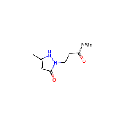 CNC(=O)CCn1[nH]c(C)cc1=O